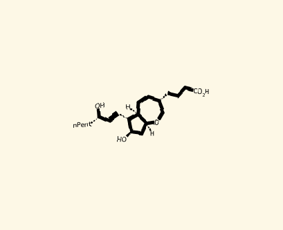 CCCCC[C@H](O)C=C[C@@H]1[C@H]2CC[C@H](CCCC(=O)O)CO[C@H]2C[C@H]1O